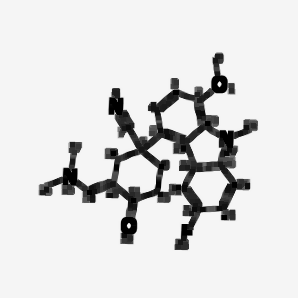 COc1ccc(C2(C#N)CCC(=O)C(=CN(C)C)C2)c2c3cc(F)ccc3n(C)c12